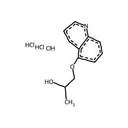 CC(O)COc1cccc2ncccc12.Cl.Cl.Cl